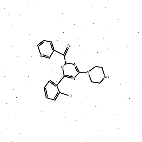 O=C(c1cccnc1)c1nc(-c2ccccc2Cl)nc(N2CCNCC2)n1